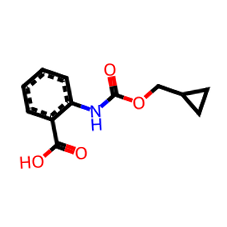 O=C(Nc1ccccc1C(=O)O)OCC1CC1